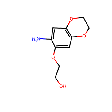 Nc1cc2c(cc1OCCO)OCCO2